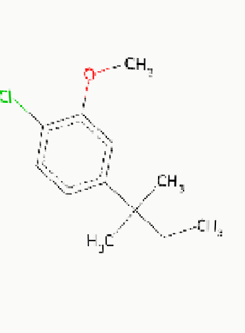 CCC(C)(C)c1ccc(Cl)c(OC)c1